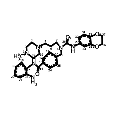 CN1CCN(CCCN(Cc2ccc(C(=O)Nc3ccccc3N)cc2)C(=O)Nc2ccc3c(c2)OCCO3)CC1